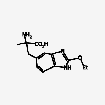 CCOc1nc2cc(CC(C)(N)C(=O)O)ccc2[nH]1